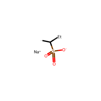 [CH2]C(CC)S(=O)(=O)[O-].[Na+]